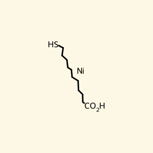 O=C(O)CCCCCCCCCCS.[Ni]